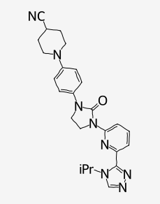 CC(C)n1cnnc1-c1cccc(N2CCN(c3ccc(N4CCC(C#N)CC4)cc3)C2=O)n1